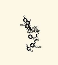 COc1cc(N2C(=O)C=CC2=O)ccc1CCC(=O)NCCOP(=O)(O)OP(=O)(O)OCC(=O)[C@@]12O[C@H](c3cccc(F)c3)O[C@@H]1C[C@H]1[C@@H]3C[C@H](F)C4=CC(=O)C=C[C@]4(C)[C@@]3(F)[C@@H](O)C[C@@]12C